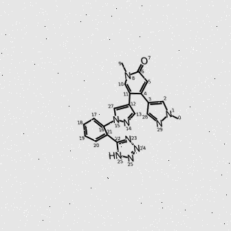 Cn1cc(-c2cc(=O)n(C)cc2-c2cnn(-c3ccccc3-c3nnn[nH]3)c2)cn1